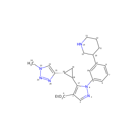 CCOC(=O)c1cnn(-c2cccc(C3CCCNC3)c2)c1C1C[C@H]1c1cn(C)nn1